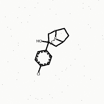 CN1C2CCC1CC(O)(c1ccc(Cl)cc1)C2